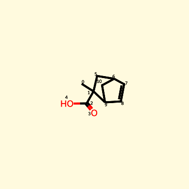 CC1(C(=O)O)CC2C=CC1C2